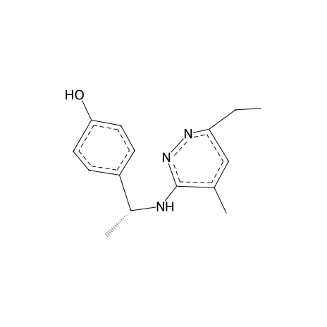 CCc1cc(C)c(N[C@H](C)c2ccc(O)cc2)nn1